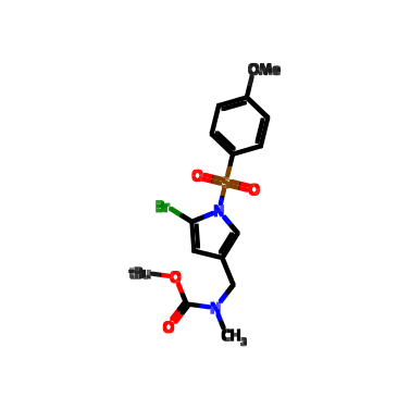 COc1ccc(S(=O)(=O)n2cc(CN(C)C(=O)OC(C)(C)C)cc2Br)cc1